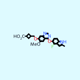 COc1cc2c(Oc3ccc4[nH]c(C)cc4c3F)ncnc2cc1OCC1CC(C(=O)O)C1